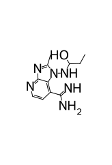 CCC(O)Nn1c(C)nc2nccc(C(=N)N)c21